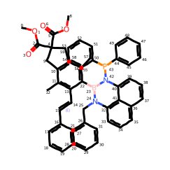 COC(=O)C1(C(=O)OC)Cc2c(C)c(/C=C/c3ccccc3)c(B3N(Cc4ccccc4)c4cccc5cccc(c45)N3P(c3ccccc3)c3ccccc3)c(C)c2C1